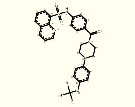 O=C(c1ccc(NS(=O)(=O)c2cccc3cccnc23)cc1)N1CCN(c2ccc(OC(F)(F)F)cc2)CC1